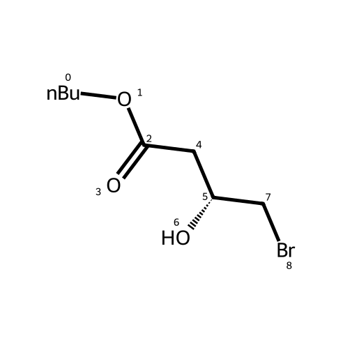 CCCCOC(=O)C[C@@H](O)CBr